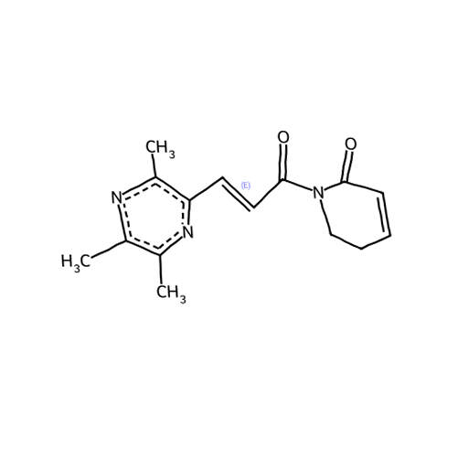 Cc1nc(C)c(/C=C/C(=O)N2CCC=CC2=O)nc1C